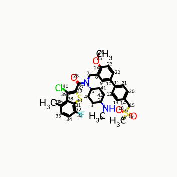 CN[C@H]1CC[C@H](N(Cc2cc(-c3ccc(CS(C)(=O)=O)cc3)ccc2OC)C(=O)c2sc3c(F)ccc(C)c3c2Cl)CC1